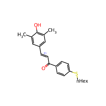 CCCCCCSc1ccc(C(=O)/C=C/c2cc(C)c(O)c(C)c2)cc1